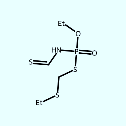 CCOP(=O)(NC=S)SCSCC